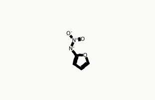 O=[N+]([O-])[N-]c1ccco1